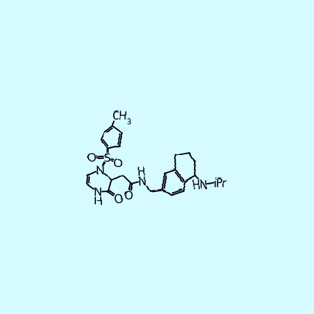 Cc1ccc(S(=O)(=O)N2C=CNC(=O)C2CC(=O)NCc2ccc3c(c2)CCCC3NC(C)C)cc1